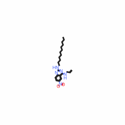 C=CCNc1nc(NCCCCCCCCCCCC)nc2ccc([N+](=O)[O-])cc12